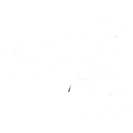 C[C@@H](CC1(c2nc(=O)on2C)c2ccc(C(=O)N(C)C)cc2CCc2cc(C(=O)N(C)C)ccc21)NCC(=O)N1CCCC1C#N